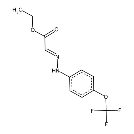 CCOC(=O)C=NNc1ccc(OC(F)(F)F)cc1